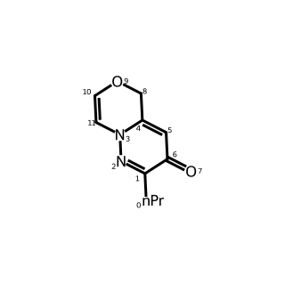 CCCc1nn2c(cc1=O)COC=C2